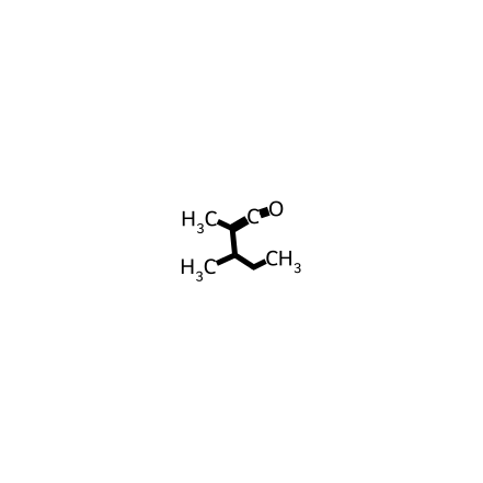 CCC(C)C(C)=C=O